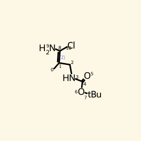 C/C(CNC(=O)OC(C)(C)C)=C(\N)Cl